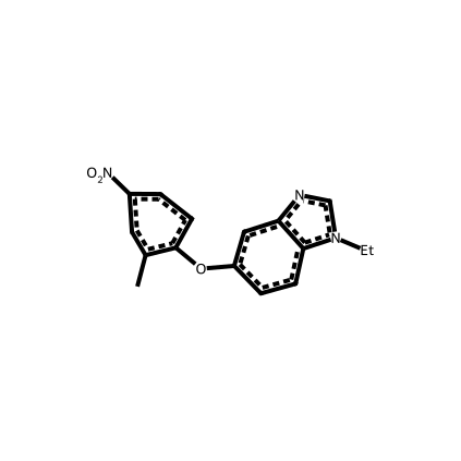 CCn1cnc2cc(Oc3ccc([N+](=O)[O-])cc3C)ccc21